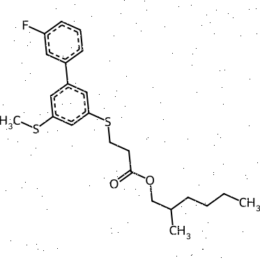 CCCCC(C)COC(=O)CCSc1cc(SC)cc(-c2cccc(F)c2)c1